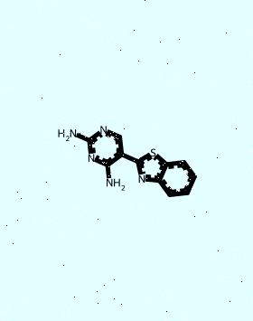 Nc1ncc(-c2nc3ccccc3s2)c(N)n1